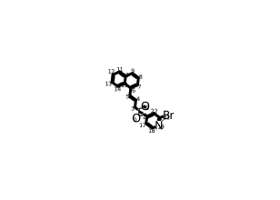 O=S(=O)(CC=Cc1cccc2ccccc12)c1ccnc(Br)c1